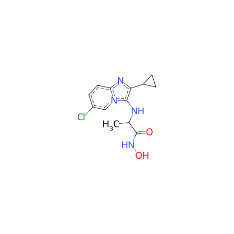 CC(Nc1c(C2CC2)nc2ccc(Cl)cn12)C(=O)NO